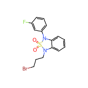 O=S1(=O)N(CCCBr)c2ccccc2N1c1cccc(F)c1